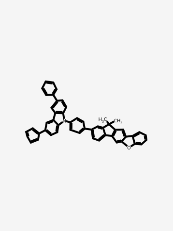 CC1(C)c2cc(-c3ccc(-n4c5ccc(-c6ccccc6)cc5c5cc(-c6ccccc6)ccc54)cc3)ccc2-c2cc3oc4ccccc4c3cc21